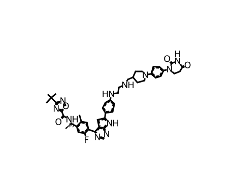 Cc1cc(-c2ncnc3[nH]c(-c4ccc(NCCNCC5CCN(c6ccc(N7CCC(=O)NC7=O)cc6)CC5)cc4)cc23)c(F)cc1[C@@H](C)NC(=O)c1nc(C(C)(C)C)no1